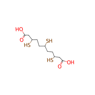 O=C(O)CC(S)CCC(S)CCC(S)CC(=O)O